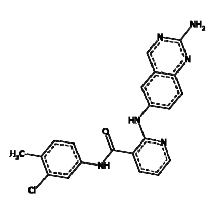 Cc1ccc(NC(=O)c2cccnc2Nc2ccc3nc(N)ncc3c2)cc1Cl